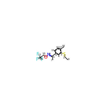 CCSc1cc(/C(C)=N/OCC(F)(F)F)ccc1C